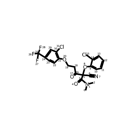 CN(C)C(=O)C(C#N)(Oc1ccccc1Cl)C(=O)CCOc1ccc(C(F)(F)F)cc1Cl